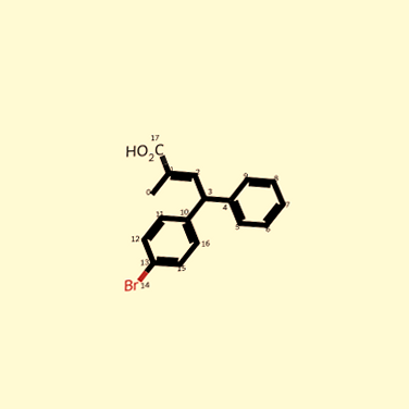 C/C(=C\C(c1ccccc1)c1ccc(Br)cc1)C(=O)O